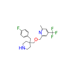 Cc1cc(C(F)(F)F)cc(COCC2(Cc3ccc(F)cc3)CCNCC2)n1